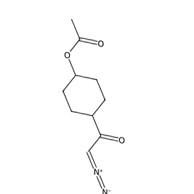 CC(=O)OC1CCC(C(=O)C=[N+]=[N-])CC1